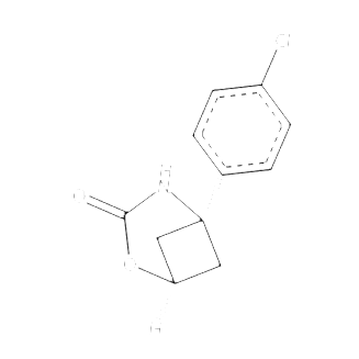 O=C1N[C@]2(c3ccc(Cl)cc3)C[C@@H](C2)O1